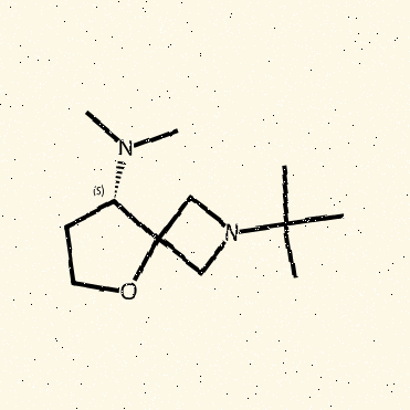 CN(C)[C@H]1CCOC12CN(C(C)(C)C)C2